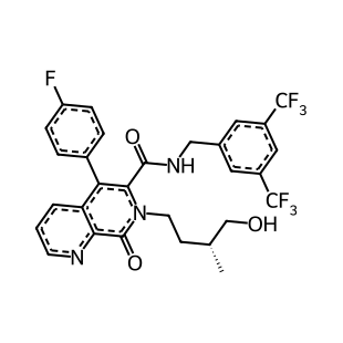 C[C@@H](CO)CCn1c(C(=O)NCc2cc(C(F)(F)F)cc(C(F)(F)F)c2)c(-c2ccc(F)cc2)c2cccnc2c1=O